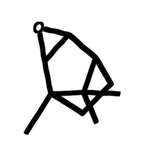 CC1(C)C2CCC1(C)C1OC21